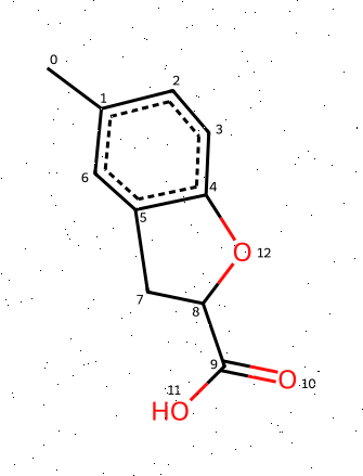 Cc1ccc2c(c1)CC(C(=O)O)O2